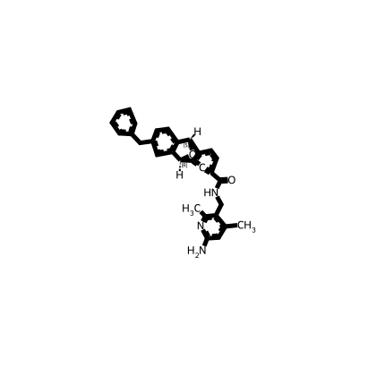 Cc1cc(N)nc(C)c1CNC(=O)c1ccc2c(c1)[C@@H]1O[C@H]2c2ccc(Cc3ccccc3)cc21